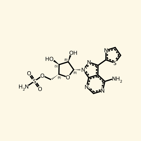 Nc1ncnc2c1c(-c1nccs1)nn2[C@@H]1O[C@H](COS(N)(=O)=O)[C@@H](O)[C@H]1O